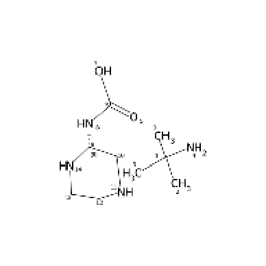 CC(C)(C)N.O=C(O)N[C@@H]1CNCCN1